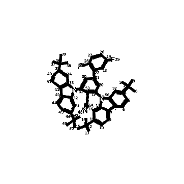 CC(C)(C)c1ccc2c3ccc(C(C)(C)C)cc3n(-c3cc(-c4cc(F)ccc4F)cc(-n4c5cc(C(C)(C)C)ccc5c5ccc(C(C)(C)C)cc54)c3C#N)c2c1